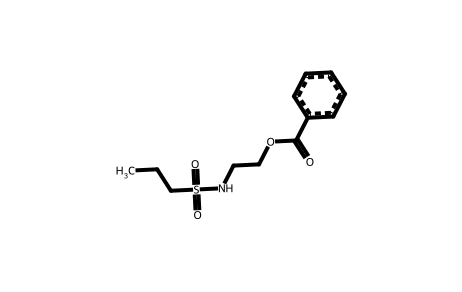 CCCS(=O)(=O)NCCOC(=O)c1ccccc1